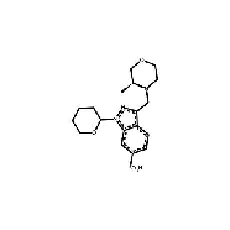 C[C@H]1COCCN1Cc1nn(C2CCCCO2)c2cc(S(=O)(=O)O)ccc12